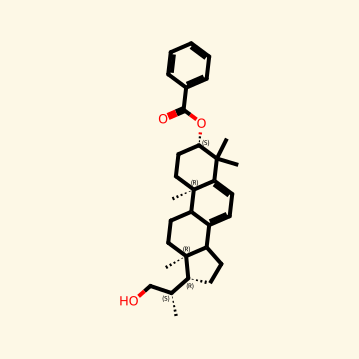 C[C@H](CO)[C@H]1CCC2C3=CC=C4C(C)(C)[C@@H](OC(=O)c5ccccc5)CC[C@]4(C)C3CC[C@@]21C